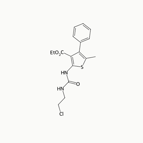 CCOC(=O)c1c(NC(=O)NCCCl)sc(C)c1-c1ccccc1